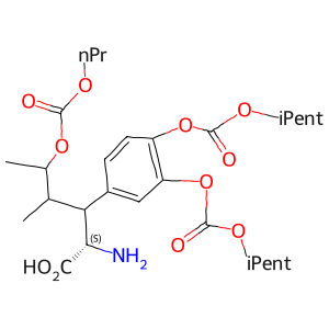 CCCOC(=O)OC(C)C(C)C(c1ccc(OC(=O)OC(C)CCC)c(OC(=O)OC(C)CCC)c1)[C@H](N)C(=O)O